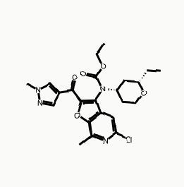 CCOC(=O)N(c1c(C(=O)c2cnn(C)c2)oc2c(C)nc(Cl)cc12)[C@H]1CCO[C@@H](CC)C1